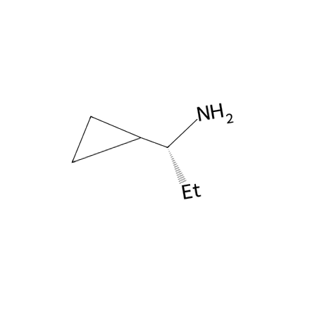 CC[C@@H](N)C1CC1